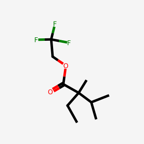 CCC(C)(C(=O)OCC(F)(F)F)C(C)C